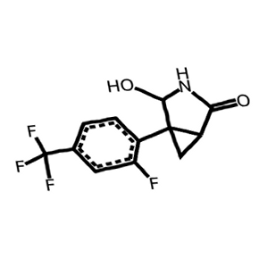 O=C1NC(O)C2(c3ccc(C(F)(F)F)cc3F)CC12